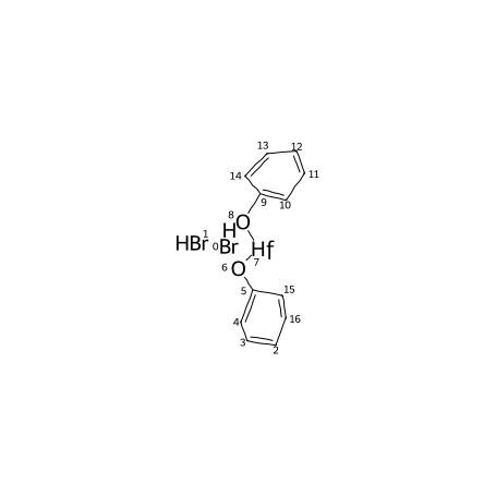 Br.Br.c1ccc([O][Hf][O]c2ccccc2)cc1